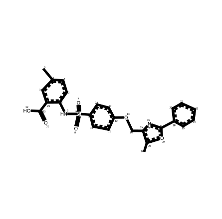 Cc1ccc(NS(=O)(=O)c2ccc(OCc3nc(-c4ccccc4)oc3C)cc2)c(C(=O)O)c1